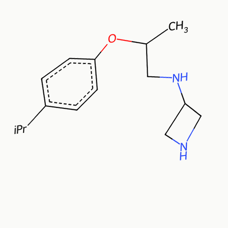 CC(CNC1CNC1)Oc1ccc(C(C)C)cc1